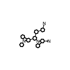 N#Cc1cccc(-c2cccc(-c3cc(-c4ccc5c(c4)c4ccccc4n5-c4ccccc4)cc(-n4c5ccccc5c5cc(C#N)ccc54)c3)c2)c1